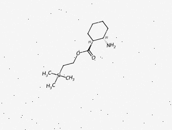 C[Si](C)(C)CCOC(=O)[C@H]1CCCC[C@@H]1N